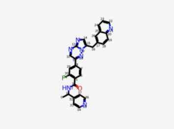 CC(NC(=O)c1ccc(-c2cnc3ncc(Cc4ccc5ncccc5c4)n3n2)cc1F)c1ccncc1